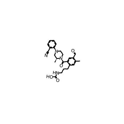 Cc1cc(CCCNC(=O)O)c(C(=O)N2CCN(c3ccccc3C#N)C[C@@H]2C)cc1C=O